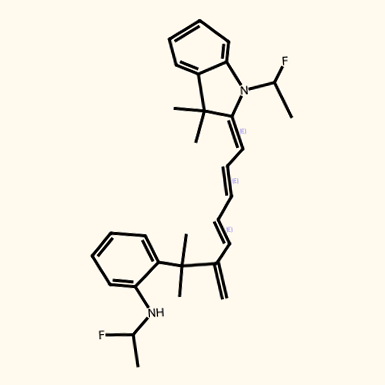 C=C(/C=C/C=C/C=C1/N(C(C)F)c2ccccc2C1(C)C)C(C)(C)c1ccccc1NC(C)F